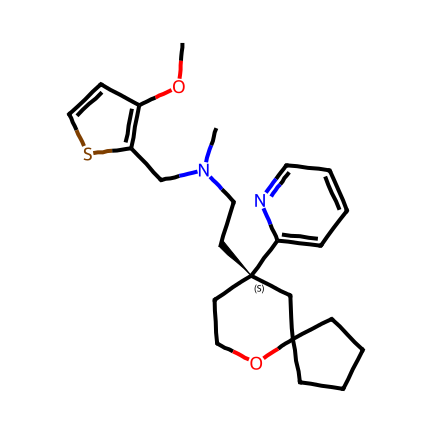 COc1ccsc1CN(C)CC[C@]1(c2ccccn2)CCOC2(CCCC2)C1